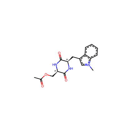 CC(=O)OC[C@H]1NC(=O)[C@@H](Cc2cn(C)c3ccccc23)NC1=O